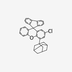 Clc1cc(C23CC4CC(CC(C4)C2)C3)c2c(c1)C1(c3ccccc3O2)c2ccccc2-c2ccccc21